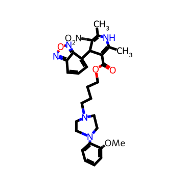 COc1ccccc1N1CCN(CCCCOC(=O)C2=C(C)NC(C)=C([N+](=O)[O-])C2c2cccc3nonc23)CC1